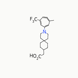 CC1=C=CC(C(F)(F)F)=CC(N2CCC3(CCC(CC(=O)O)CC3)CC2)=C1